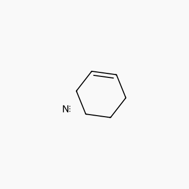 C1=CCCCC1.[N]